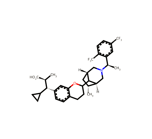 C[C@@H]1C[C@@H]2CN([C@H](C)c3cc(C(F)(F)F)ccc3C(F)(F)F)C[C@@H]1C2C1CCc2ccc([C@H](C3CC3)[C@H](C)C(=O)O)cc2O1